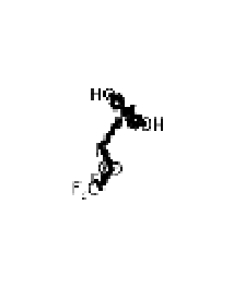 Cc1c(-c2ccc(O)cc2)n(CCCCCCCN(C)CCCS(=O)(=O)CCCC(F)(F)C(F)(F)F)c2ccc(O)cc12